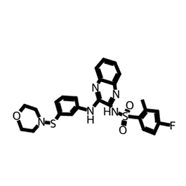 Cc1cc(F)ccc1S(=O)(=O)Nc1nc2ccccc2nc1Nc1cccc(SN2CCOCC2)c1